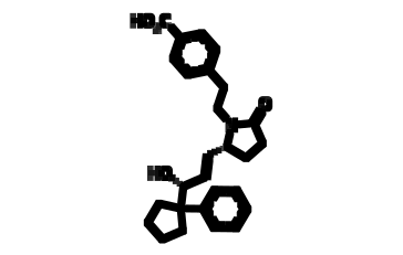 O=C(O)c1ccc(CCN2C(=O)CC[C@@H]2C=C[C@@H](O)C2(c3ccccc3)CCCC2)cc1